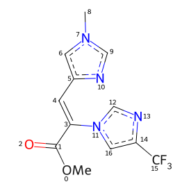 COC(=O)/C(=C/c1cn(C)cn1)n1cnc(C(F)(F)F)c1